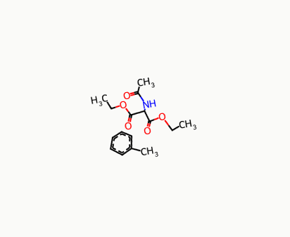 CCOC(=O)C(NC(C)=O)C(=O)OCC.Cc1ccccc1